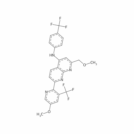 COCc1cc(Nc2ccc(C(F)(F)F)cc2)c2ccc(-c3ncc(OC)cc3C(F)(F)F)nc2n1